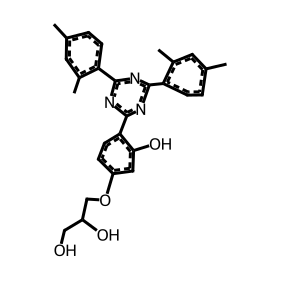 Cc1ccc(-c2nc(-c3ccc(C)cc3C)nc(-c3ccc(OCC(O)CO)cc3O)n2)c(C)c1